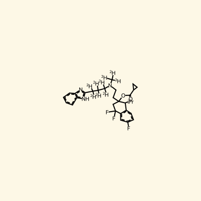 [2H]C([2H])([2H])N(CCC1(OC(=O)C2CC2)CC(F)(F)c2cc(F)ccc2C1C(C)C)C([2H])([2H])C([2H])([2H])C([2H])([2H])c1nc2ccccc2[nH]1